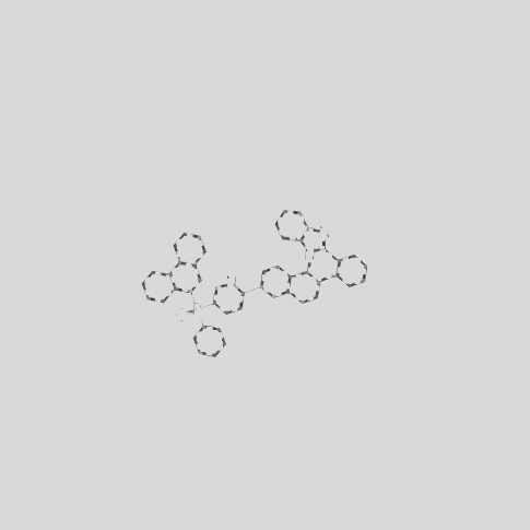 O=P(c1ccccc1)(c1ccc(-c2ccc3c(ccc4c5ccccc5c5nc6ccccc6n5c34)c2)nc1)c1cc2ccccc2c2ccccc12